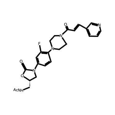 CC(=O)NC[C@H]1CN(c2ccc(N3CCN(C(=O)C=Cc4cccnc4)CC3)c(F)c2)C(=O)O1